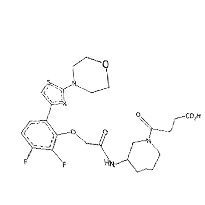 O=C(O)CCC(=O)N1CCCC(NC(=O)COc2c(-c3csc(N4CCOCC4)n3)ccc(F)c2F)C1